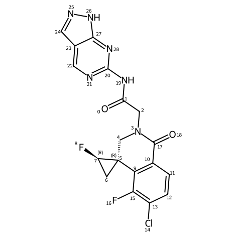 O=C(CN1C[C@@]2(C[C@H]2F)c2c(ccc(Cl)c2F)C1=O)Nc1ncc2cn[nH]c2n1